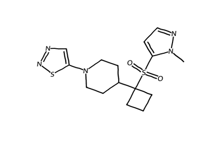 Cn1nccc1S(=O)(=O)C1(C2CCN(c3cnns3)CC2)CCC1